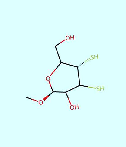 CO[C@H]1OC(CO)[C@H](S)C(S)C1O